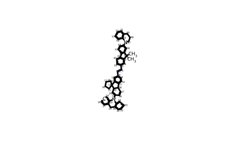 CC1(C)c2cc(/C=C/c3ccc4c(c3)C3(CCCC3)C3C=C(N5c6ccccc6Cc6ccccc65)C=CC43)ccc2-c2ccc(N3CCCc4ccccc43)cc21